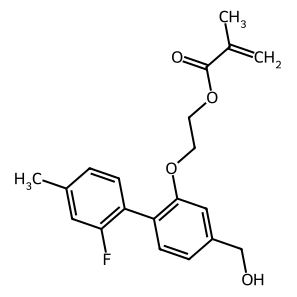 C=C(C)C(=O)OCCOc1cc(CO)ccc1-c1ccc(C)cc1F